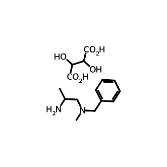 CC(N)CN(C)Cc1ccccc1.O=C(O)C(O)C(O)C(=O)O